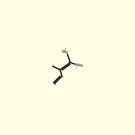 C=C/C(C)=C(\NC)C(C)(C)C